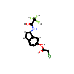 O=C(CCl)Oc1ccc2c(c1)[C@H](NC(=O)C(F)(F)F)CC2